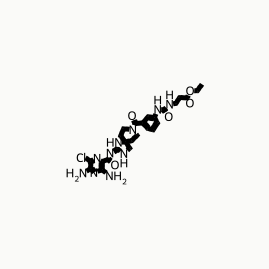 CCOC(=O)CCNC(=O)Nc1cccc(C(=O)N2CCC3(CC2)CN/C(=N\C(=O)c2nc(Cl)c(N)nc2N)N3)c1